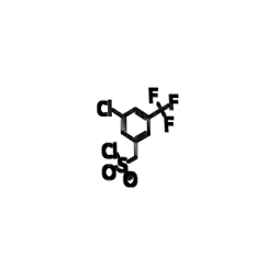 O=S(=O)(Cl)Cc1cc(Cl)cc(C(F)(F)F)c1